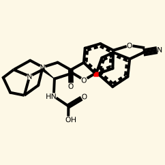 COc1ccc(C(=O)CN2CC3CCC(C2)N3C[C@@H](COc2ccc(C#N)cc2)NC(=O)O)cc1